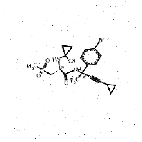 CS(=O)(=O)C[C@H](NC1(C#N)CC1)C(=O)N[C@@](C#CC1CC1)(c1ccc(Br)cc1)C(F)(F)F